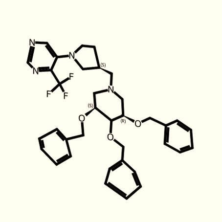 FC(F)(F)c1ncncc1N1CC[C@@H](CN2C[C@H](OCc3ccccc3)C(OCc3ccccc3)[C@H](OCc3ccccc3)C2)C1